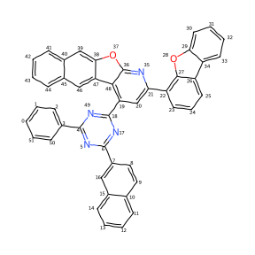 c1ccc(-c2nc(-c3ccc4ccccc4c3)nc(-c3cc(-c4cccc5c4oc4ccccc45)nc4oc5cc6ccccc6cc5c34)n2)cc1